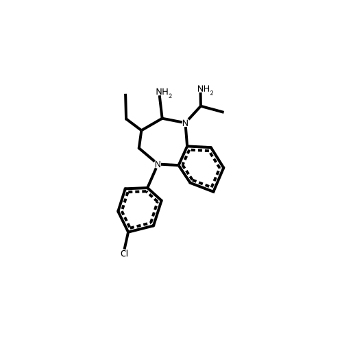 CCC1CN(c2ccc(Cl)cc2)c2ccccc2N(C(C)N)C1N